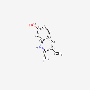 Cc1cc2ccc(O)cc2nc1C